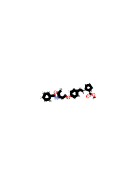 COC(=O)[C@@H]1CCC[C@H]1CCc1ccc(OCCc2nc(-c3ccccc3)oc2C)cc1